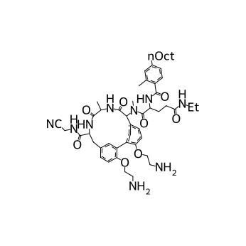 CCCCCCCCc1ccc(C(=O)NC(CCC(=O)NCC)C(=O)N(C)C2C(=O)NC(C)C(=O)NC(C(=O)NCC#N)Cc3ccc(OCCN)c(c3)-c3cc2ccc3OCCN)c(C)c1